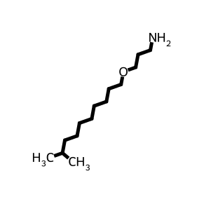 CC(C)CCCCCCCCOCCCN